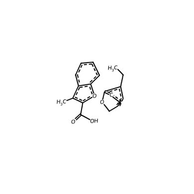 CCc1cc2ccc1OC2.Cc1c(C(=O)O)oc2ccccc12